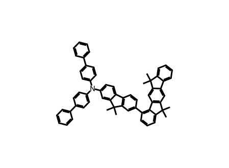 CC1(C)c2cc(-c3cccc4c3-c3cc5c(cc3C4(C)C)-c3ccccc3C5(C)C)ccc2-c2ccc(N(c3ccc(-c4ccccc4)cc3)c3ccc(-c4ccccc4)cc3)cc21